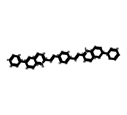 C1=CCC(C2C=Cc3nc(/C=C/c4ccc(/C=C/c5ccc6cc(-c7ccccc7)ccc6n5)cc4)ccc3C2)C=C1